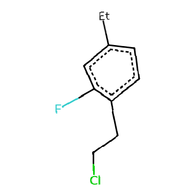 CCc1ccc(CCCl)c(F)c1